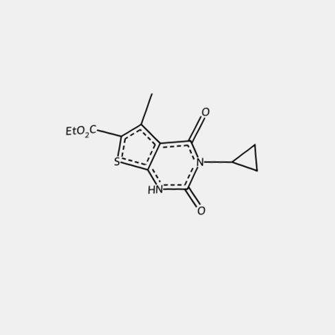 CCOC(=O)c1sc2[nH]c(=O)n(C3CC3)c(=O)c2c1C